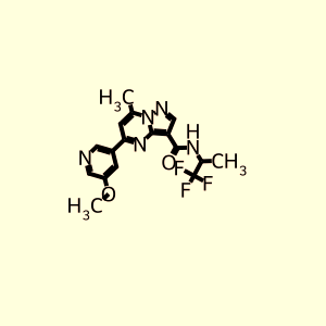 COc1cncc(-c2cc(C)n3ncc(C(=O)NC(C)C(F)(F)F)c3n2)c1